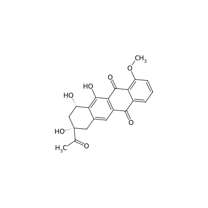 COc1cccc2c1C(=O)c1c(cc3c(c1O)[C@@H](O)C[C@](O)(C(C)=O)C3)C2=O